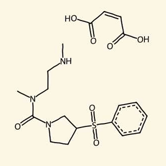 CNCCN(C)C(=O)N1CCC(S(=O)(=O)c2ccccc2)C1.O=C(O)/C=C\C(=O)O